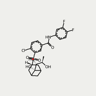 C[C@@H](O)[C@@H](O)[C@]1(O)C2CC1C[C@@H](S(=O)(=O)c1cc(C(=O)Nc3ccc(F)c(F)c3)ccc1Cl)C2